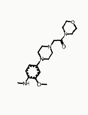 CNc1ccc(N2CCN(CC(=O)N3CCOCC3)CC2)cc1OC